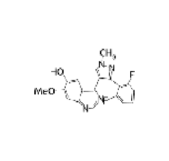 COc1cc2ncnc(-c3cn(C)nc3-c3c(F)cccc3F)c2cc1O